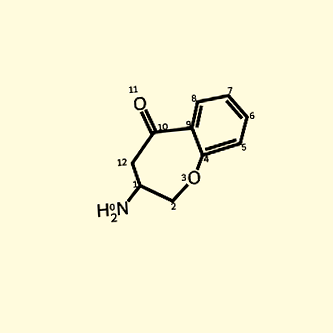 NC1COc2ccccc2C(=O)C1